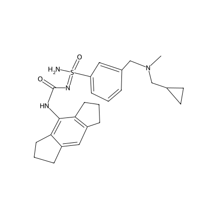 CN(Cc1cccc(S(N)(=O)=NC(=O)Nc2c3c(cc4c2CCC4)CCC3)c1)CC1CC1